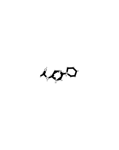 CC(=O)Oc1cnc(N2CCCCC2)cn1